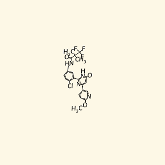 COc1ccc(-c2cc(=O)[nH]c(-c3cc(CNC(=O)C(C)(C)C(F)(F)F)ccc3Cl)n2)cn1